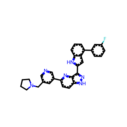 Fc1cccc(-c2cccc3[nH]c(-c4n[nH]c5ccc(-c6cncc(CN7CCCC7)c6)nc45)cc23)c1